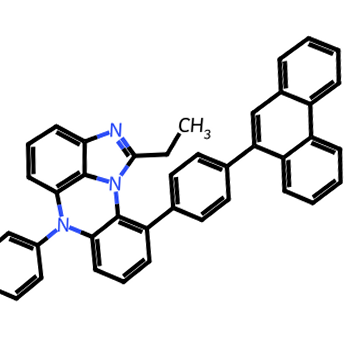 CCc1nc2cccc3c2n1-c1c(-c2ccc(-c4cc5ccccc5c5ccccc45)cc2)cccc1N3c1ccccc1